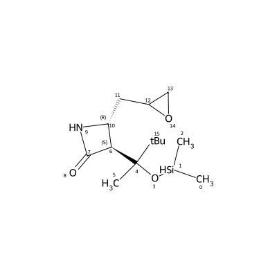 C[SiH](C)OC(C)([C@H]1C(=O)N[C@@H]1CC1CO1)C(C)(C)C